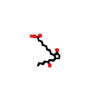 CCCCC(=O)C=CC1CCC(=O)C1CC=CCCCCC(=O)O